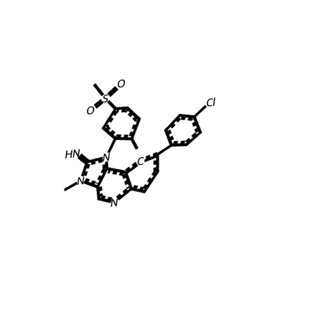 Cc1ccc(S(C)(=O)=O)cc1-n1c(=N)n(C)c2cnc3ccc(-c4ccc(Cl)cc4)cc3c21